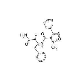 NC(=O)C(=O)[C@H](Cc1ccccc1)NC(=O)c1c(-c2ccccc2)noc1C(F)(F)F